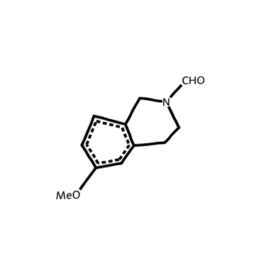 COc1ccc2c(c1)CCN(C=O)C2